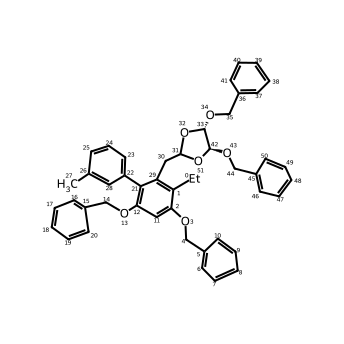 CCc1c(OCc2ccccc2)cc(OCc2ccccc2)c(-c2cccc(C)c2)c1CC1O[C@H](OCc2ccccc2)[C@@H](OCc2ccccc2)O1